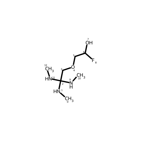 CNC(COCC(O)F)(NC)NC